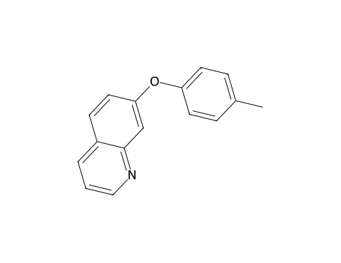 Cc1ccc(Oc2ccc3cccnc3c2)cc1